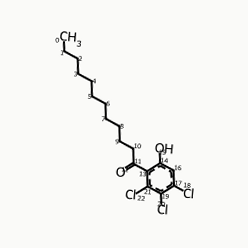 CCCCCCCCCCCC(=O)c1c(O)cc(Cl)c(Cl)c1Cl